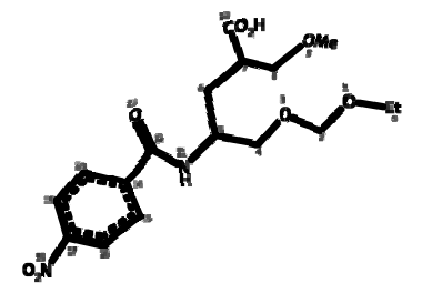 CCOCOCC(CC(COC)C(=O)O)NC(=O)c1ccc([N+](=O)[O-])cc1